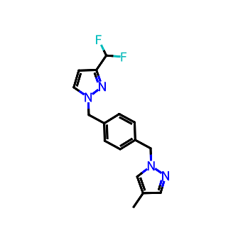 Cc1cnn(Cc2ccc(Cn3ccc(C(F)F)n3)cc2)c1